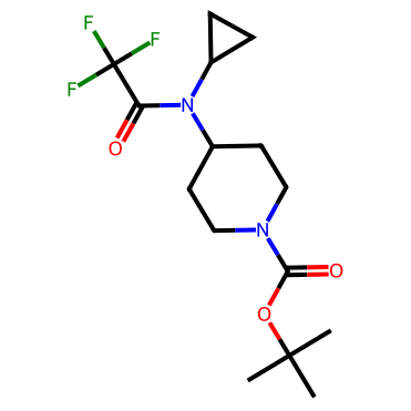 CC(C)(C)OC(=O)N1CCC(N(C(=O)C(F)(F)F)C2CC2)CC1